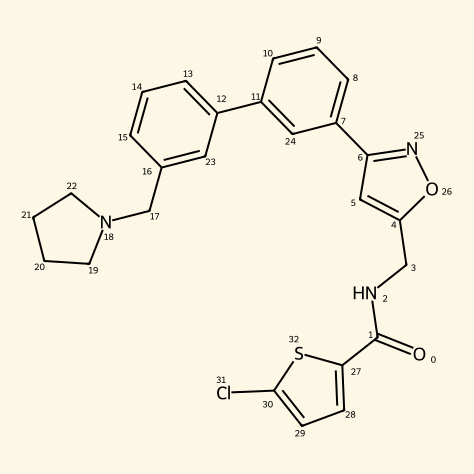 O=C(NCc1cc(-c2cccc(-c3cccc(CN4CCCC4)c3)c2)no1)c1ccc(Cl)s1